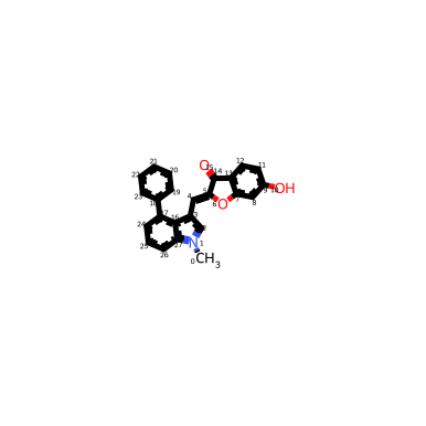 Cn1cc(C=C2Oc3cc(O)ccc3C2=O)c2c(-c3ccccc3)cccc21